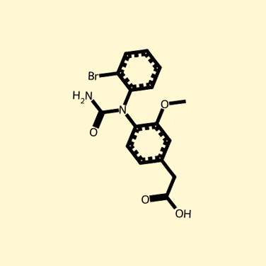 COc1cc(CC(=O)O)ccc1N(C(N)=O)c1ccccc1Br